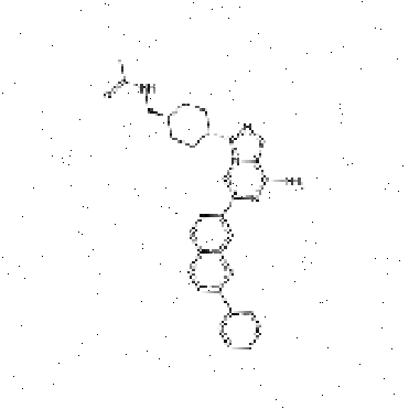 CC(=O)NC[C@H]1CC[C@H](c2ncc3c(N)nc(-c4ccc5ccc(-c6ccccc6)nc5c4)cn32)CC1